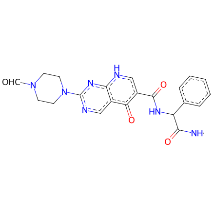 [NH]C(=O)C(NC(=O)c1c[nH]c2nc(N3CCN(C=O)CC3)ncc2c1=O)c1ccccc1